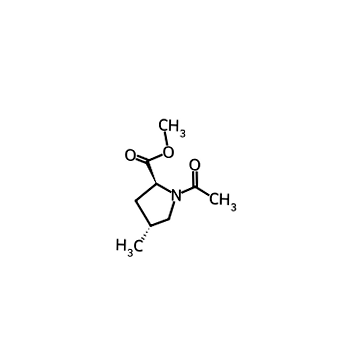 COC(=O)[C@@H]1C[C@@H](C)CN1C(C)=O